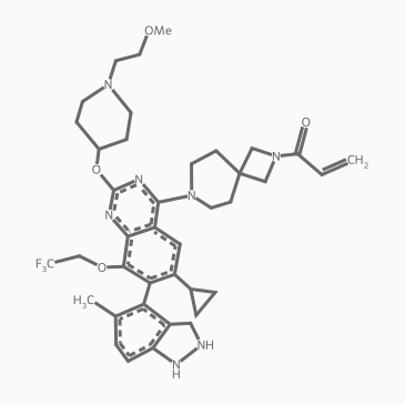 C=CC(=O)N1CC2(CCN(c3nc(OC4CCN(CCOC)CC4)nc4c(OCC(F)(F)F)c(-c5c(C)ccc6c5CNN6)c(C5CC5)cc34)CC2)C1